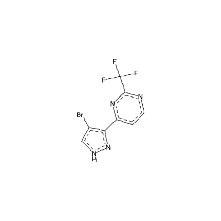 FC(F)(F)c1nccc(-c2n[nH]cc2Br)n1